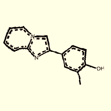 Cc1cc(-c2cn3ccccc3n2)ccc1O